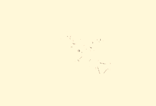 COC(=O)[C@@H]1C[C@@H](N(C)C)CN1C(=O)OCc1ccccc1